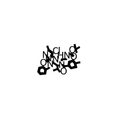 Cc1ccc(C(=O)N(CCNC(=O)OC(C)(C)C)C(c2nc3c(Cl)c(C)nn3c(=O)n2Cc2ccccc2)C(C)C)cc1